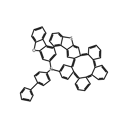 c1ccc(-c2ccc(N(c3ccc4c(c3)oc3ccccc34)c3ccc4c5ccccc5c5ccccc5c5ccccc5c5cc6sc7ccccc7c6cc5c4c3)cc2)cc1